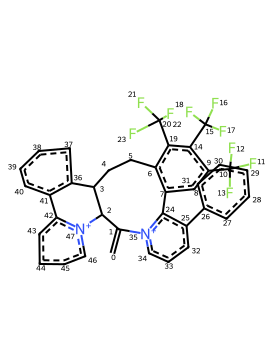 C=C1C2C(CCc3c(cc(C(F)(F)F)c(C(F)(F)F)c3C(F)(F)F)-c3c(-c4ccccc4)ccc[n+]31)c1ccccc1-c1cccc[n+]12